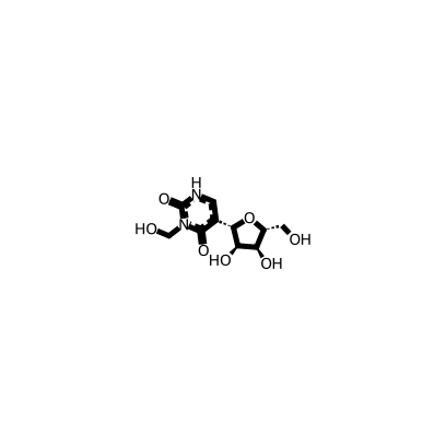 O=c1[nH]cc([C@@H]2O[C@H](CO)[C@@H](O)[C@H]2O)c(=O)n1CO